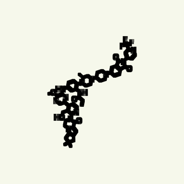 C=CC(=O)Nc1cc(Nc2nc(-c3ccnc(N4CCn5c(cc6c5CC(C)(C)C6)C4=O)c3CO)cnc2OC)ccc1N1CCN(C2CCN(c3ccc4c(c3)C(=O)N(c3ccnc(C(F)(F)F)c3)C4=O)CC2)C[C@@H]1C